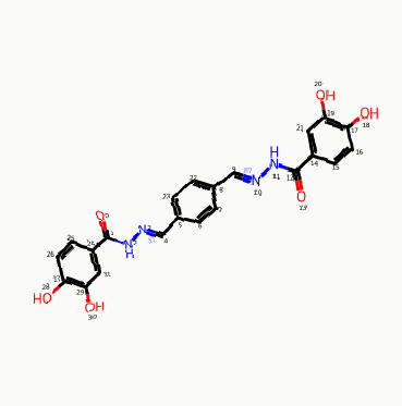 O=C(N/N=C/c1ccc(/C=N/NC(=O)c2ccc(O)c(O)c2)cc1)c1ccc(O)c(O)c1